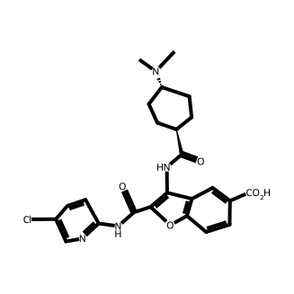 CN(C)[C@H]1CC[C@H](C(=O)Nc2c(C(=O)Nc3ccc(Cl)cn3)oc3ccc(C(=O)O)cc23)CC1